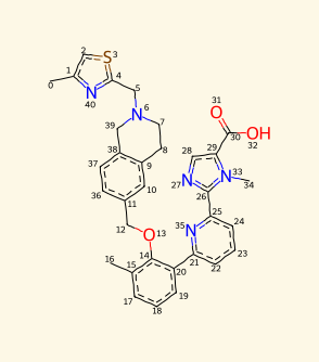 Cc1csc(CN2CCc3cc(COc4c(C)cccc4-c4cccc(-c5ncc(C(=O)O)n5C)n4)ccc3C2)n1